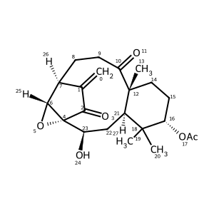 C=C1C(=O)[C@]23O[C@@H]2[C@H]1CCC(=O)[C@]1(C)CC[C@H](OC(C)=O)C(C)(C)[C@H]1C[C@H]3O